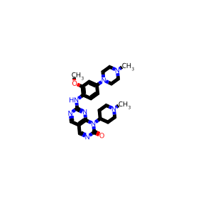 COc1cc(N2CCN(C)CC2)ccc1Nc1ncc2cnc(=O)n(C3CCN(C)CC3)c2n1